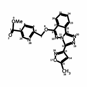 COC(=O)c1ccc(COc2nn3c(-c4cc(C)on4)nnc3c3ccccc23)nc1